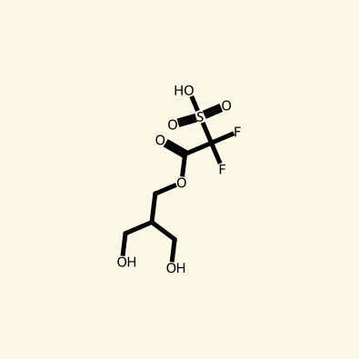 O=C(OCC(CO)CO)C(F)(F)S(=O)(=O)O